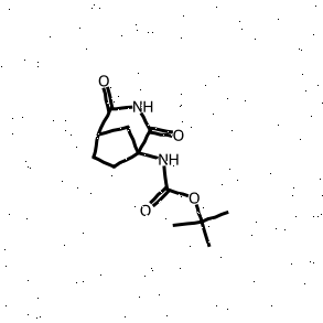 CC(C)(C)OC(=O)NC12CCC(C1)C(=O)NC2=O